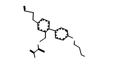 C=CCCc1ccc(-c2ccc(OCCCO)cc2)c(COC(=O)C(=C)C)c1